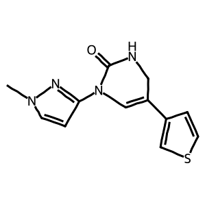 Cn1ccc(N2C=C(c3ccsc3)CNC2=O)n1